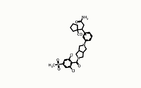 CS(=O)(=O)c1cc(Cl)c(C(=O)N2CC3CN(c4cccc(C(CC(N)=O)C5(C(=O)O)CCCC5)c4)CC3C2)c(Cl)c1